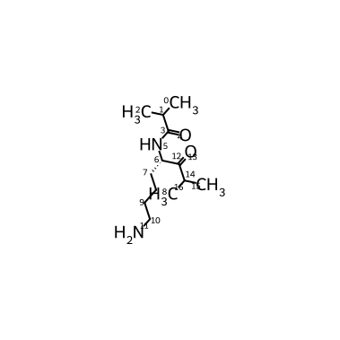 CC(C)C(=O)N[C@@H](CCCCN)C(=O)C(C)C